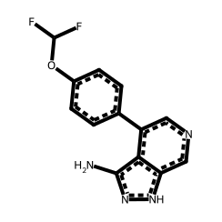 Nc1n[nH]c2cncc(-c3ccc(OC(F)F)cc3)c12